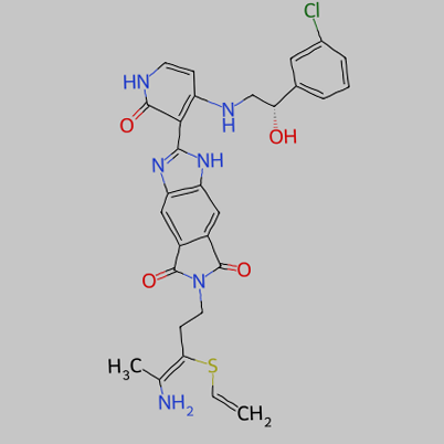 C=CS/C(CCN1C(=O)c2cc3nc(-c4c(NC[C@@H](O)c5cccc(Cl)c5)cc[nH]c4=O)[nH]c3cc2C1=O)=C(/C)N